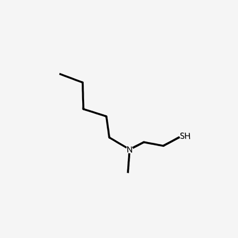 CCCCCN(C)CCS